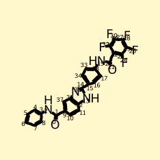 O=C(Nc1ccccc1)c1ccc2[nH]c(-c3ccc(NC(=O)c4c(F)c(F)c(F)c(F)c4F)cc3)nc2c1